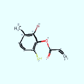 C=CC(=O)Oc1c(S)ccc(C)c1Br